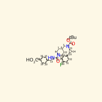 CC(C)(C)OC(=O)N(CC1CCN(C(=O)NCc2ccc(C(=O)O)cc2)CC1)C1CC1c1ccc(F)cc1